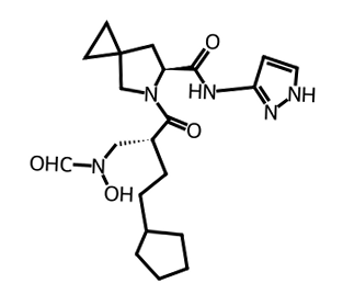 O=CN(O)C[C@@H](CCC1CCCC1)C(=O)N1CC2(CC2)C[C@H]1C(=O)Nc1cc[nH]n1